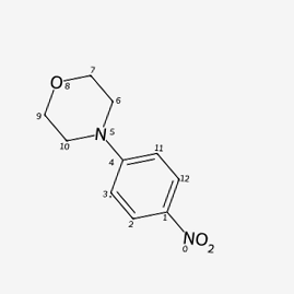 O=[N+]([O-])c1c[c]c(N2CCOCC2)cc1